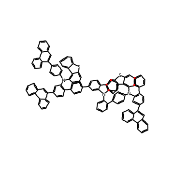 c1ccc(-c2ccc(-c3cc4ccccc4c4ccccc34)cc2N(c2ccc(-c3ccccc3-n3c4ccccc4c4ccc(-c5ccc(-c6ccc(-c7cc8ccccc8c8ccccc78)cc6N(c6ccc(-c7cc8ccccc8c8ccccc78)cc6)c6cccc7sc8ccccc8c67)cc5)cc43)cc2)c2cccc3sc4ccccc4c23)cc1